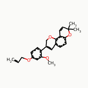 C=CCOc1ccc(C2=Cc3ccc4c(c3OC2)C=CC(C)(C)O4)c(OC)c1